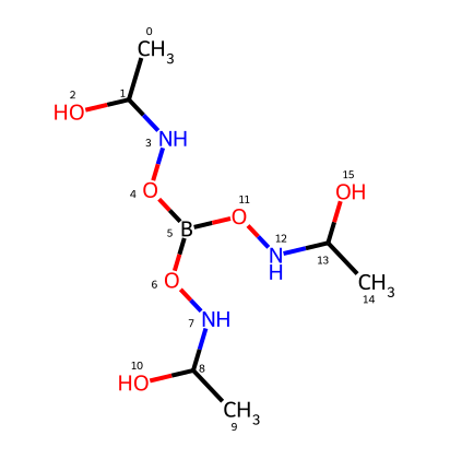 CC(O)NOB(ONC(C)O)ONC(C)O